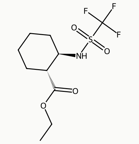 CCOC(=O)[C@@H]1CCCC[C@H]1NS(=O)(=O)C(F)(F)F